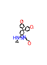 COc1ccc(C2(c3ccc(OC)cc3)C=Cc3c(NC4CC4)nn(C=CC=O)c3C2)cc1